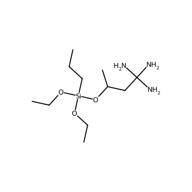 CCC[Si](OCC)(OCC)OC(C)CC(N)(N)N